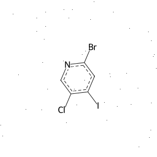 Clc1cnc(Br)cc1I